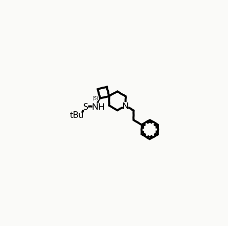 CC(C)(C)SN[C@H]1CCC12CCN(CCc1ccccc1)CC2